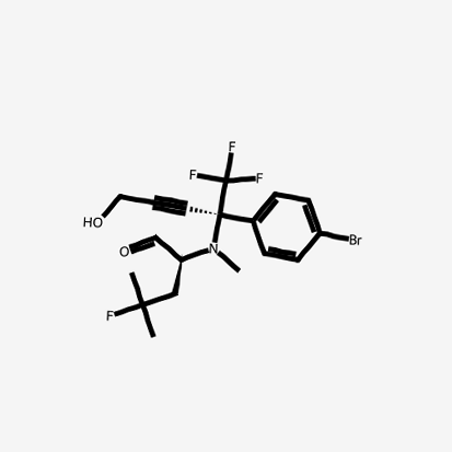 CN([C@H]([C]=O)CC(C)(C)F)[C@](C#CCO)(c1ccc(Br)cc1)C(F)(F)F